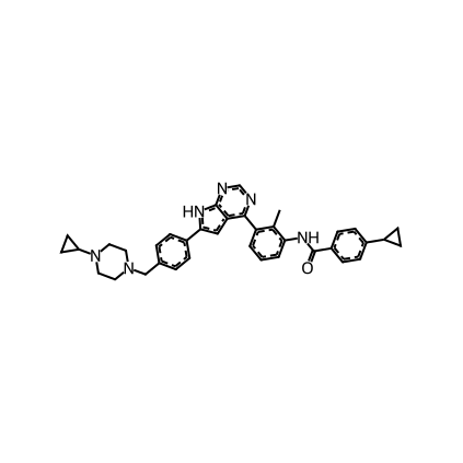 Cc1c(NC(=O)c2ccc(C3CC3)cc2)cccc1-c1ncnc2[nH]c(-c3ccc(CN4CCN(C5CC5)CC4)cc3)cc12